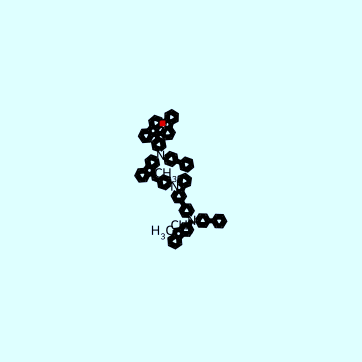 CC1(C)c2ccccc2-c2ccc(N(c3ccc(-c4ccccc4)cc3)c3ccc(-c4ccc5c(c4)c4ccccc4n5-c4ccc(CC5(C)c6ccccc6-c6ccc(N(c7ccc(-c8ccccc8)cc7)c7ccc(C8(c9cccc%10c9oc9ccccc9%10)c9ccccc9-c9ccccc98)cc7)cc65)cc4)cc3)cc21